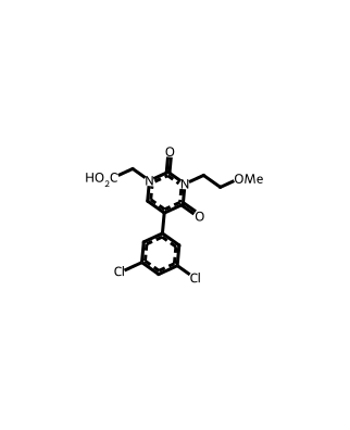 COCCn1c(=O)c(-c2cc(Cl)cc(Cl)c2)cn(CC(=O)O)c1=O